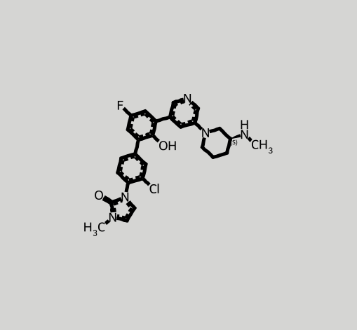 CN[C@H]1CCCN(c2cncc(-c3cc(F)cc(-c4ccc(-n5ccn(C)c5=O)c(Cl)c4)c3O)c2)C1